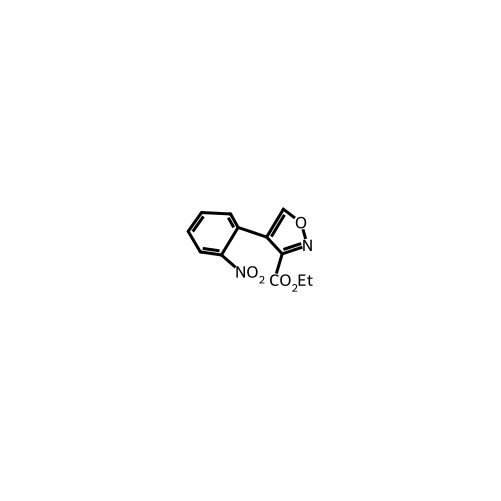 CCOC(=O)c1nocc1-c1ccccc1[N+](=O)[O-]